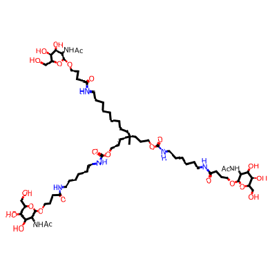 CC(=O)NC1C(OCCCC(=O)NCCCCCCCCCC(C)(CCCOC(=O)NCCCCCCNC(=O)CCCOC2OC(CO)C(O)C(O)C2NC(C)=O)CCCOC(=O)NCCCCCCNC(=O)CCCOC2OC(CO)C(O)C(O)C2NC(C)=O)OC(CO)C(O)C1O